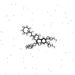 COc1cc2oc(=O)c3c(c2cc1OC)CCN(CCN1CCCCCC1)C3.Cl.Cl